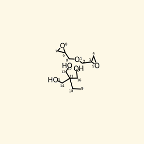 C(OCC1CO1)C1CO1.CCC(CO)(CO)CO